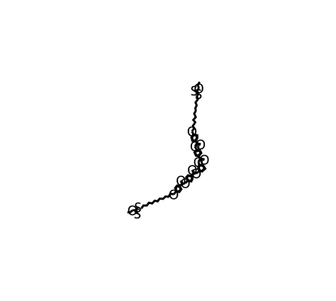 CCOC(=S)SCCCCCCCCCCCCOc1ccc(C(=O)Oc2ccc(C(=O)Oc3cccc(OC(=O)c4ccc(OC(=O)c5ccc(OCCCCCCCCCCCCSC(=S)OCC)cc5)cc4)c3)cc2)cc1